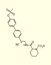 CS(=O)(=O)Oc1ccc(-c2ccc([C@@H](C#N)CNC(=O)C3CCCCN3C(=O)O)cc2)cc1